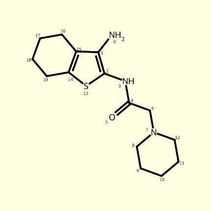 Nc1c(NC(=O)CN2CCCCC2)sc2c1CCCC2